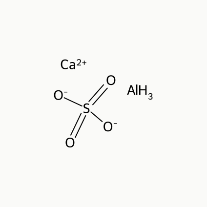 O=S(=O)([O-])[O-].[AlH3].[Ca+2]